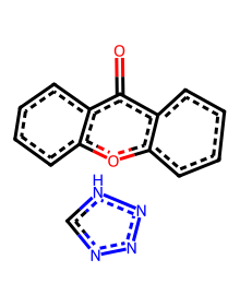 O=c1c2ccccc2oc2ccccc12.c1nnn[nH]1